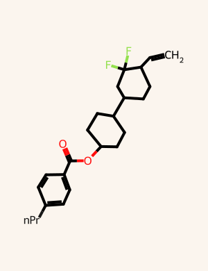 C=CC1CCC(C2CCC(OC(=O)c3ccc(CCC)cc3)CC2)CC1(F)F